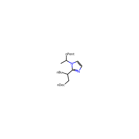 CCCCCCCCCCCC(CCCC)c1nccn1C(C)CCCCC